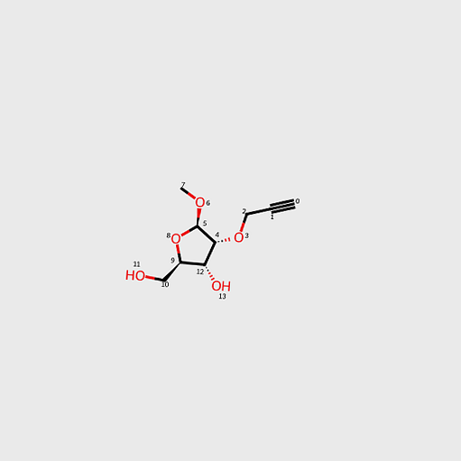 C#CCO[C@H]1[C@H](OC)O[C@H](CO)[C@H]1O